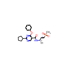 CC[C@@H](/C=C/S(C)(=O)=O)NC(=O)c1cnc(C2CCCC2)nc1Oc1ccccc1